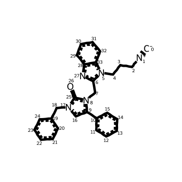 [C-]#[N+]CCCn1c(Cn2c(-c3ccccc3)cn(Cc3ccccc3)c2=O)nc2ccccc21